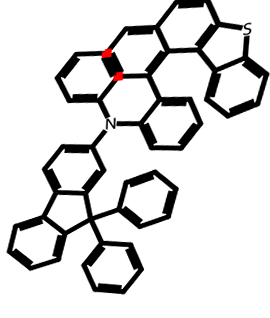 c1ccc(N(c2ccc3c(c2)C(c2ccccc2)(c2ccccc2)c2ccccc2-3)c2ccccc2-c2cccc3ccc4sc5ccccc5c4c23)cc1